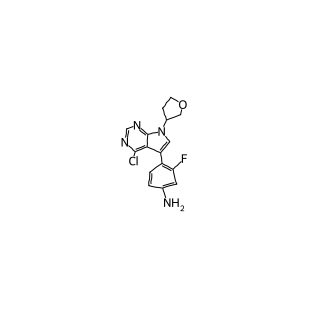 Nc1ccc(-c2cn(C3CCOC3)c3ncnc(Cl)c23)c(F)c1